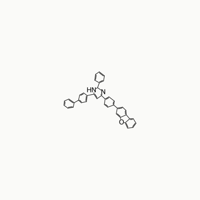 C1=C(c2ccc(-c3ccccc3)cc2)NC(c2ccccc2)N=C1c1ccc(-c2ccc3c(c2)oc2ccccc23)cc1